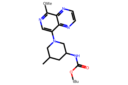 COc1ncc(N2CC(C)CC(NC(=O)OC(C)(C)C)C2)c2nccnc12